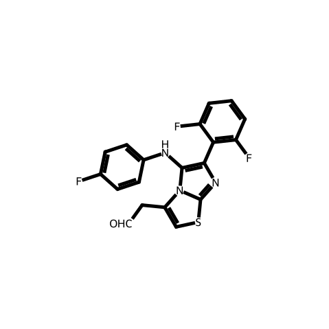 O=CCc1csc2nc(-c3c(F)cccc3F)c(Nc3ccc(F)cc3)n12